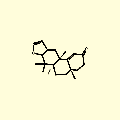 CC1(C)C2ON=CC2C[C@]2(C)C3=CC(=O)CC[C@]3(C)CC[C@@H]12